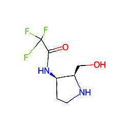 O=C(N[C@@H]1CCN[C@@H]1CO)C(F)(F)F